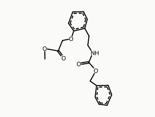 COC(=O)COc1ccccc1CCNC(=O)OCc1ccccc1